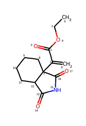 C=C(C(=O)OCC)C12CCCCC1C(=O)NC2=O